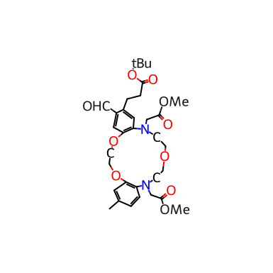 COC(=O)CN1CCOCCN(CC(=O)OC)c2cc(CCC(=O)OC(C)(C)C)c(C=O)cc2OCCOc2cc(C)ccc21